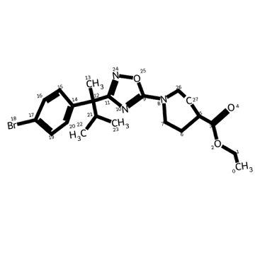 CCOC(=O)C1CCN(c2nc(C(C)(c3ccc(Br)cc3)C(C)C)no2)CC1